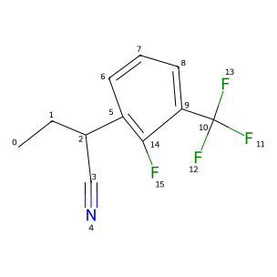 CCC(C#N)c1cccc(C(F)(F)F)c1F